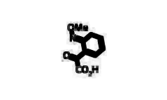 CON=C1CC=CC=C1C(=O)C(=O)O